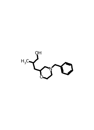 CC(CO)CC1CN(Cc2ccccc2)CCO1